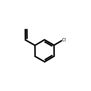 C=CC1C=C(Cl)C=CC1